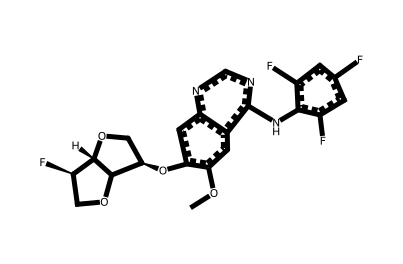 COc1cc2c(Nc3c(F)cc(F)cc3F)ncnc2cc1O[C@@H]1CO[C@@H]2C1OC[C@H]2F